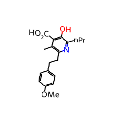 CCCc1nc(CCc2ccc(OC)cc2)c(C)c(C(=O)O)c1O